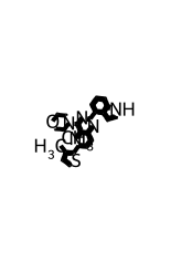 Cc1ccsc1-c1ccc2nc(-c3cccc4[nH]ccc34)nc(N3CCOC[C@H]3C)c2n1